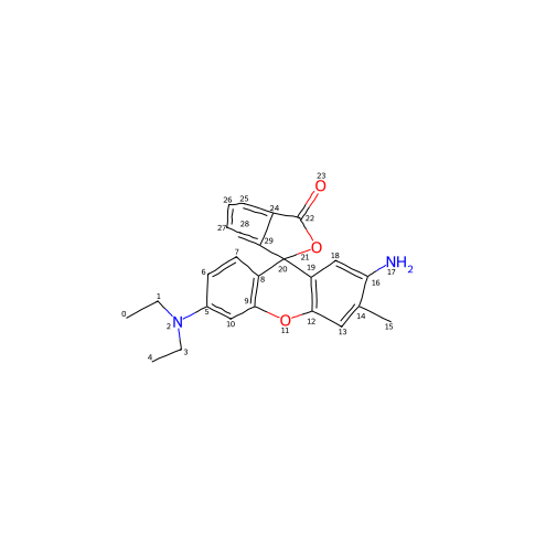 CCN(CC)c1ccc2c(c1)Oc1cc(C)c(N)cc1C21OC(=O)c2ccccc21